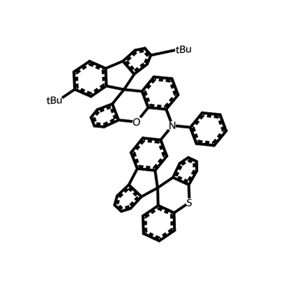 CC(C)(C)c1ccc2c(c1)C1(c3ccccc3Oc3c(N(c4ccccc4)c4ccc5c(c4)C4(c6ccccc6Sc6ccccc64)c4ccccc4-5)cccc31)c1cc(C(C)(C)C)ccc1-2